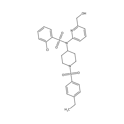 CCc1ccc(S(=O)(=O)N2CCC(N(c3cccc(CO)n3)S(=O)(=O)c3ccccc3Cl)CC2)cc1